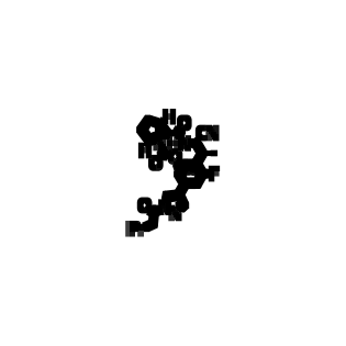 CC(C)CC(=O)n1cc(-c2ccc([C@@H](C)[C@@H](C#N)NC(=O)[C@@H]3[C@H]4CC[C@H](C4)N3C(=O)OC(C)(C)C)c(F)c2)cn1